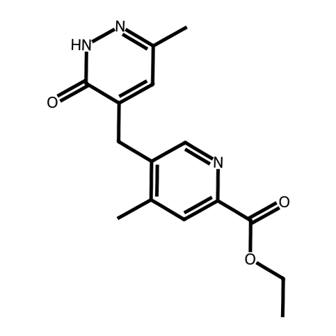 CCOC(=O)c1cc(C)c(Cc2cc(C)n[nH]c2=O)cn1